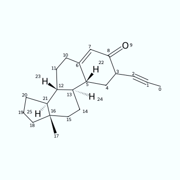 CC#CC1C[C@H]2C(=CC1=O)CC[C@@H]1[C@@H]2CC[C@]2(C)CCC[C@@H]12